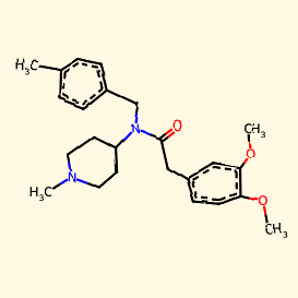 COc1ccc(CC(=O)N(Cc2ccc(C)cc2)C2CCN(C)CC2)cc1OC